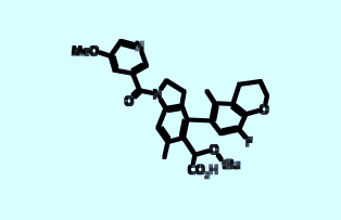 COc1cncc(C(=O)N2CCc3c2cc(C)c(C(OC(C)(C)C)C(=O)O)c3-c2cc(F)c3c(c2C)CCCO3)c1